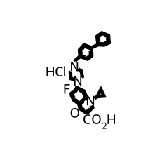 Cl.O=C(O)c1cn(C2CC2)c2cc(N3CCN(Cc4ccc(-c5ccccc5)cc4)CC3)c(F)cc2c1=O